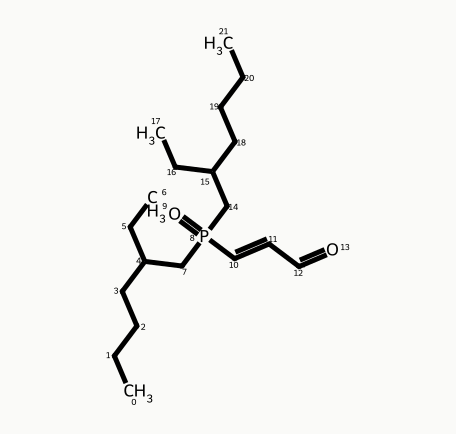 CCCCC(CC)CP(=O)(C=C[C]=O)CC(CC)CCCC